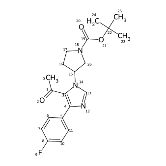 CC(=O)c1c(-c2ccc(F)cc2)ncn1C1CCN(C(=O)OC(C)(C)C)C1